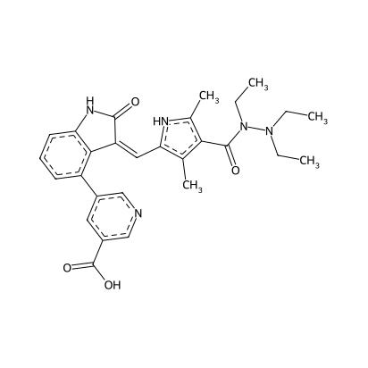 CCN(CC)N(CC)C(=O)c1c(C)[nH]c(C=C2C(=O)Nc3cccc(-c4cncc(C(=O)O)c4)c32)c1C